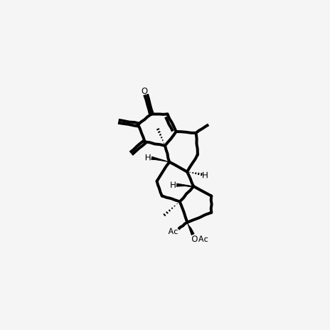 C=C1C(=C)[C@@]2(C)C(=CC1=O)C(C)C[C@@H]1[C@@H]2CC[C@@]2(C)[C@H]1CC[C@]2(OC(C)=O)C(C)=O